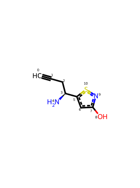 C#CC[C@H](N)c1cc(O)ns1